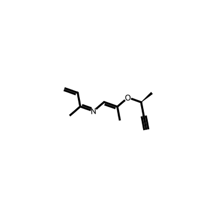 C#C[C@H](C)O/C(C)=C/N=C(/C)C=C